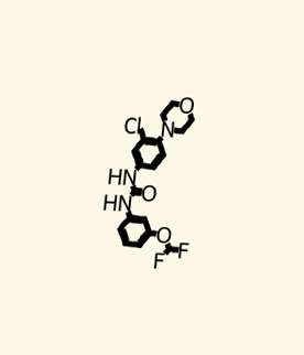 O=C(Nc1cccc(OC(F)F)c1)Nc1ccc(N2CCOCC2)c(Cl)c1